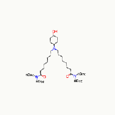 CCCCCCCCCCN(CCCCCCCCCC)C(=O)CCCCCCCN(CCCCCCCC(=O)N(CCCCCCCCCC)CCCCCCCCCC)C1CCC(O)CC1